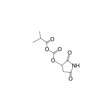 CC(C)C(=O)OC(=O)OC1CC(=O)NC1=O